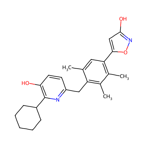 Cc1cc(-c2cc(O)no2)c(C)c(C)c1Cc1ccc(O)c(C2CCCCC2)n1